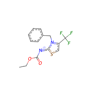 CCOC(=O)/N=c1\scc(C(F)(F)F)n1Cc1ccccc1